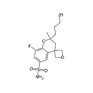 CC(C)CCCC1(C)CC2(COC2)c2cc(S(N)(=O)=O)cc(F)c2O1